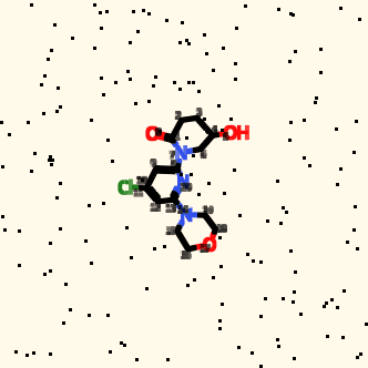 O=C1CCC(O)CN1c1cc(Cl)cc(N2CCOCC2)n1